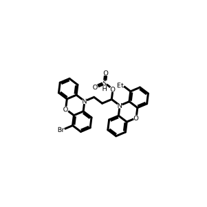 CCc1cccc2c1N(C(CCN1c3ccccc3Oc3c(Br)cccc31)O[SH](=O)=O)c1ccccc1O2